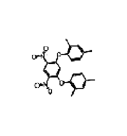 Cc1ccc(Oc2cc(Oc3ccc(C)cc3C)c([N+](=O)[O-])cc2[N+](=O)[O-])c(C)c1